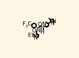 CCn1nccc1C(=O)NC(C(=O)Nc1ccc(-c2c(C)cnn2C)cn1)[C@H]1CC[C@H](C(F)(F)F)CC1